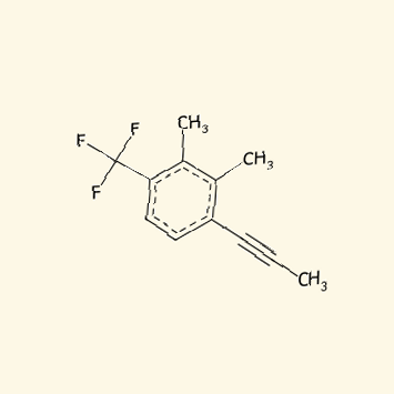 CC#Cc1ccc(C(F)(F)F)c(C)c1C